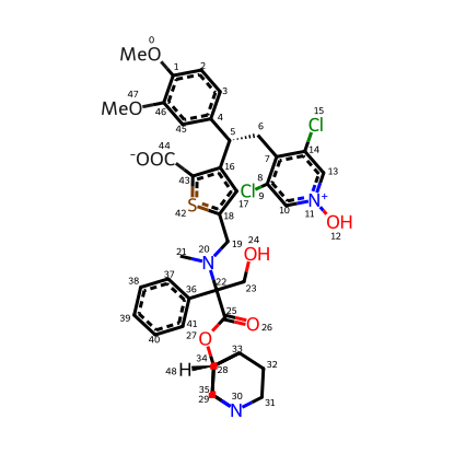 COc1ccc([C@H](Cc2c(Cl)c[n+](O)cc2Cl)c2cc(CN(C)C(CO)(C(=O)O[C@H]3CN4CCC3CC4)c3ccccc3)sc2C(=O)[O-])cc1OC